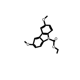 CCOC(=O)n1c2ccc(OC)cc2c2cc(OC)ccc21